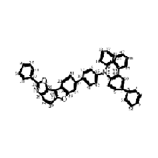 c1ccc(-c2ccc(N(c3ccccc3)c3ccc(-c4ccc5c(c4)oc4ccc6nc(-c7ccccc7)oc6c45)cc3)c(-c3ccccc3)c2)cc1